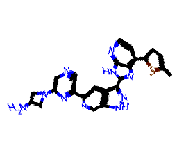 Cc1ccc(-c2ccnc3[nH]c(-c4n[nH]c5cnc(-c6cncc(N7CC(N)C7)n6)cc45)nc23)s1